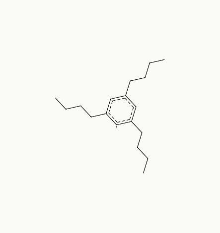 CCCCc1[c]c(CCCC)cc(CCCC)c1